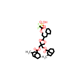 CC1CC2CCCC(C(=O)OCC3(COC(=O)C45CCCC(CC(C)C4)C5)COC(C(CCOC(=O)C(F)(F)S(=O)(=O)O)CC4CCCCC4)OC3)(C1)C2